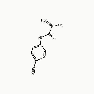 C=C(C)C(=O)Nc1ccc([N+]#N)cc1